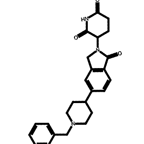 O=C1CCC(N2Cc3cc(C4CCN(Cc5ccccc5)CC4)ccc3C2=O)C(=O)N1